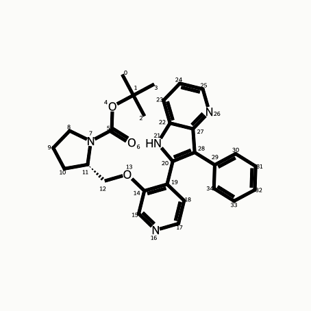 CC(C)(C)OC(=O)N1CCC[C@H]1COc1cnccc1-c1[nH]c2cccnc2c1-c1ccccc1